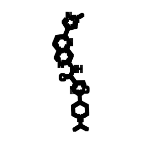 CC(C)N1CCC(c2nc(C(=O)Nc3cc4nc(-c5cnn(C)c5)ccc4cn3)co2)CC1